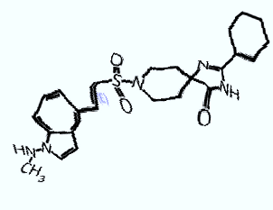 CNn1ccc2c(/C=C/S(=O)(=O)N3CCC4(CC3)N=C(C3CCCCC3)NC4=O)cccc21